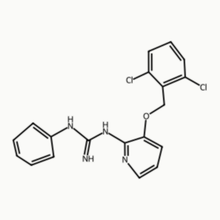 N=C(Nc1ccccc1)Nc1ncccc1OCc1c(Cl)cccc1Cl